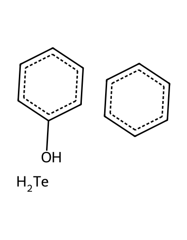 Oc1ccccc1.[TeH2].c1ccccc1